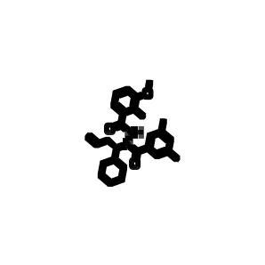 C=CC[C@H](C1CCCCC1)N(NC(=O)c1cccc(OC)c1C)C(=O)c1cc(C)cc(C)c1